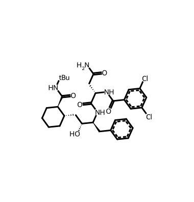 CC(C)(C)NC(=O)[C@@H]1CCCC[C@H]1C[C@@H](O)[C@H](Cc1ccccc1)NC(=O)[C@H](CC(N)=O)NC(=O)c1cc(Cl)cc(Cl)c1